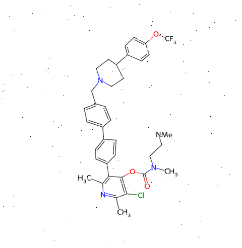 CNCCN(C)C(=O)Oc1c(Cl)c(C)nc(C)c1-c1ccc(-c2ccc(CN3CCC(c4ccc(OC(F)(F)F)cc4)CC3)cc2)cc1